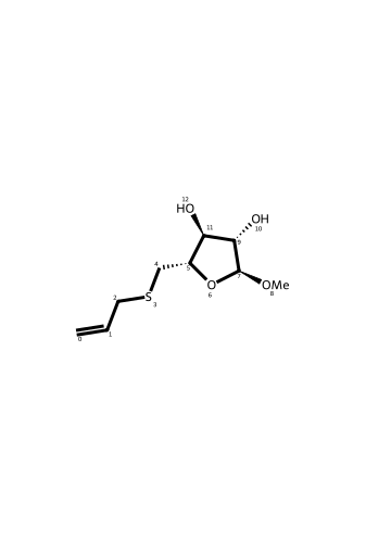 C=CCSC[C@H]1O[C@H](OC)[C@@H](O)[C@@H]1O